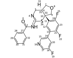 O=C(NC1=NC[C@H]2COC[C@]2(c2cc(-c3cncc(F)c3)c(F)cc2F)S1)c1ccccc1